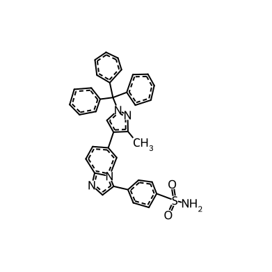 Cc1nn(C(c2ccccc2)(c2ccccc2)c2ccccc2)cc1-c1ccc2ncc(-c3ccc(S(N)(=O)=O)cc3)n2c1